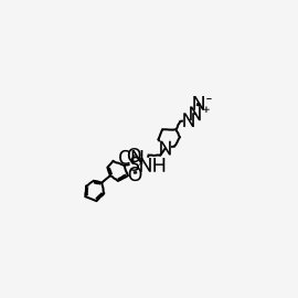 N#CC1(S(=O)(=O)NCCN2CCC(CN=[N+]=[N-])CC2)C=CC(c2ccccc2)=CC1